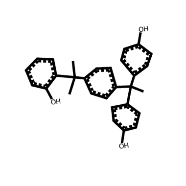 CC(C)(c1ccc(C(C)(c2ccc(O)cc2)c2ccc(O)cc2)cc1)c1ccccc1O